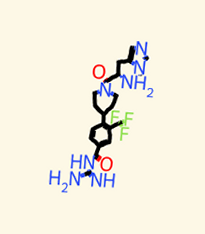 Cn1cncc1C[C@@H](N)C(=O)N1CCC(c2ccc(C(=O)NC(=N)N)cc2C(F)(F)F)CC1